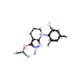 CCCC(CCC)Oc1c2c(nn1C)N(c1c(C)cc(C)cc1Cl)CCC2